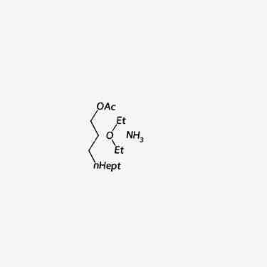 CCCCCCCCCCOC(C)=O.CCOCC.N